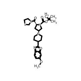 COc1ccc2nc(C3CCN([C@H]4C[C@@H](C(=O)N5CCSC5)N(C(=O)OC(C)(C)C)C4)CC3)oc2c1